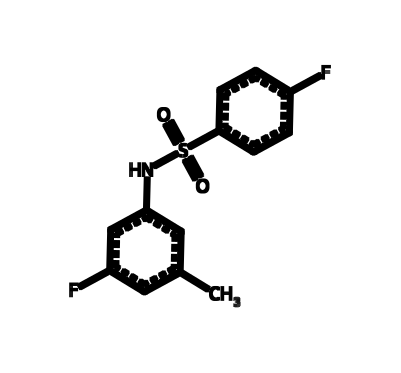 Cc1cc(F)cc(NS(=O)(=O)c2ccc(F)cc2)c1